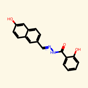 O=C(N/N=C/c1ccc2cc(O)ccc2c1)c1ccccc1O